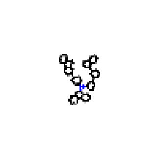 CC1(C)c2ccccc2-c2ccc(-c3ccc(N(c4cccc(-c5cccc(-c6cccc7ccccc67)c5)c4)c4cc5ccccc5c5ccccc45)cc3)cc21